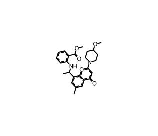 COC(=O)c1ccccc1NC(C)c1cc(C)cc2c(=O)cc(N3CCC(OC)CC3)oc12